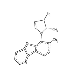 CCC1C=CN(c2c(C)ccc3c2oc2cccnc23)[C@H]1C